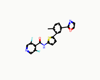 Cc1ccc(-c2ncco2)cc1-c1ccc(NC(=O)c2c(F)cncc2F)s1